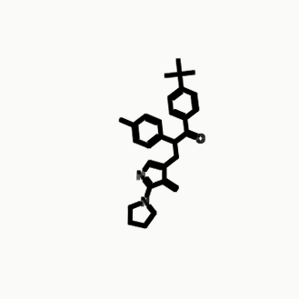 C=C1C(CC(C(=O)c2ccc(C(C)(C)C)cc2)c2ccc(C)cc2)=CN=C1N1CCCC1